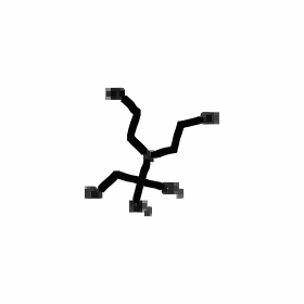 CCC(C)CC(C)(N)N(CCO)CCO